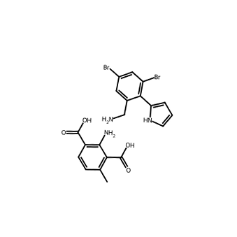 Cc1ccc(C(=O)O)c(N)c1C(=O)O.NCc1cc(Br)cc(Br)c1-c1ccc[nH]1